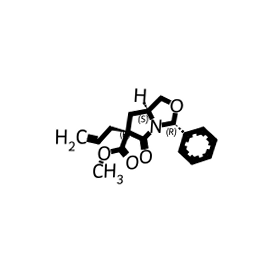 C=CC[C@@]1(C(=O)OC)C[C@H]2CO[C@H](c3ccccc3)N2C1=O